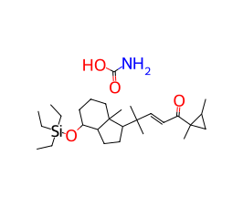 CC[Si](CC)(CC)OC1CCCC2(C)C1CCC2C(C)(C)C=CC(=O)C1(C)CC1C.NC(=O)O